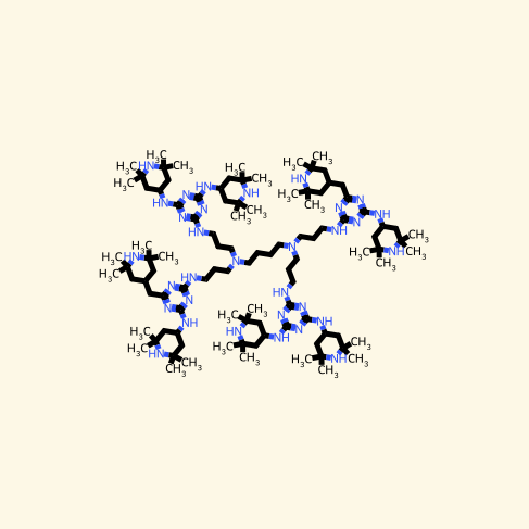 CC1(C)CC(Cc2nc(NCCCN(CCCCN(CCCNc3nc(CC4CC(C)(C)NC(C)(C)C4)nc(NC4CC(C)(C)NC(C)(C)C4)n3)CCCNc3nc(NC4CC(C)(C)NC(C)(C)C4)nc(NC4CC(C)(C)NC(C)(C)C4)n3)CCCNc3nc(NC4CC(C)(C)NC(C)(C)C4)nc(NC4CC(C)(C)NC(C)(C)C4)n3)nc(NC3CC(C)(C)NC(C)(C)C3)n2)CC(C)(C)N1